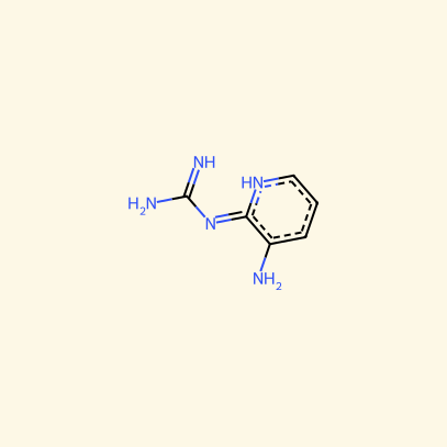 N=C(N)/N=c1\[nH]cccc1N